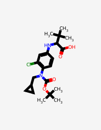 CC(C)(C)OC(=O)N(CC1CC1)c1ccc(NC(C(=O)O)C(C)(C)C)cc1Cl